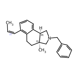 C/C=C\c1cccc2c1CC[C@]1(C)CN(Cc3ccccc3)C[C@H]21